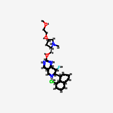 COCCO[C@@H]1C[C@@H](COc2ncc3cnc(-c4cccc5cccc(Cl)c45)c(F)c3n2)N(C)C1